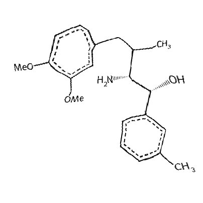 COc1ccc(CC(C)[C@@H](N)[C@H](O)c2cccc(C)c2)cc1OC